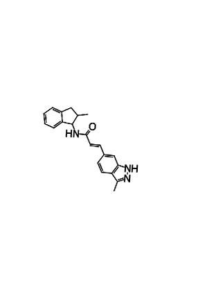 Cc1n[nH]c2cc(/C=C/C(=O)NC3c4ccccc4CC3C)ccc12